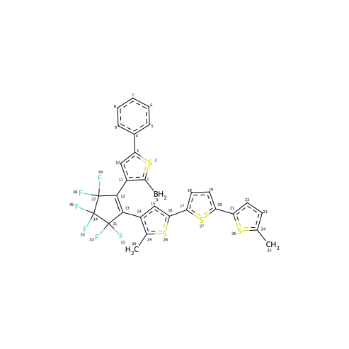 Bc1sc(-c2ccccc2)cc1C1=C(c2cc(-c3ccc(-c4ccc(C)s4)s3)sc2C)C(F)(F)C(F)(F)C1(F)F